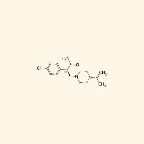 C=C(C)N1CCN(C[C@H](C(N)=O)c2ccc(Cl)cc2)CC1